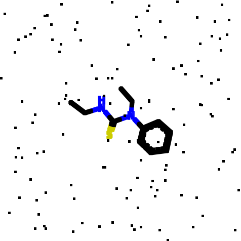 CCNC(=S)N(CC)c1ccccc1